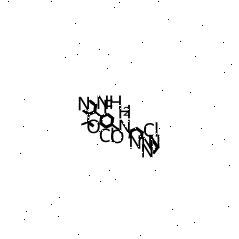 CC(=O)c1cncc(N)c1-c1cc(Cl)c(C(=O)Nc2cnc(-n3nccn3)c(Cl)c2)cc1F